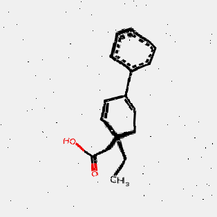 CCC1(C(=O)O)C=CC(c2ccccc2)=CC1